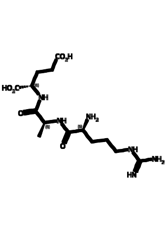 C[C@H](NC(=O)[C@@H](N)CCCNC(=N)N)C(=O)N[C@@H](CCC(=O)O)C(=O)O